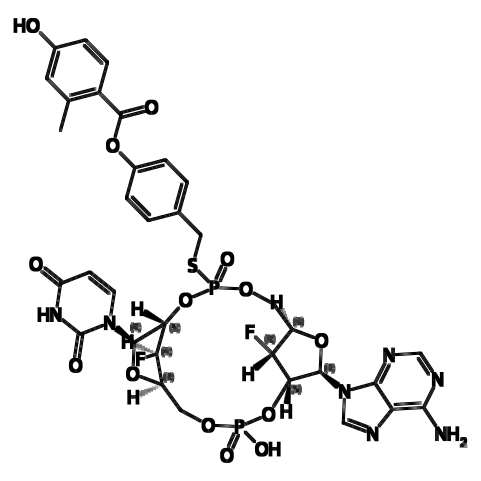 Cc1cc(O)ccc1C(=O)Oc1ccc(CSP2(=O)OC[C@H]3O[C@@H](n4cnc5c(N)ncnc54)[C@H](OP(=O)(O)OC[C@H]4O[C@@H](n5ccc(=O)[nH]c5=O)[C@H](O2)[C@@H]4F)[C@@H]3F)cc1